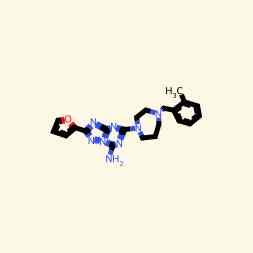 Cc1ccccc1CN1CCCN(c2nc(N)n3nc(-c4ccco4)nc3n2)CC1